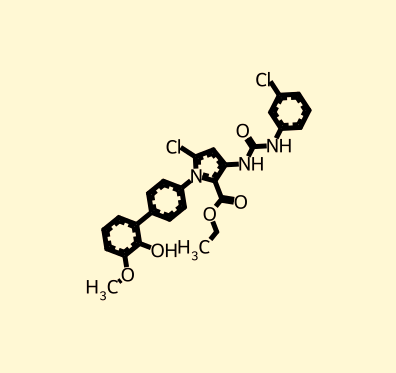 CCOC(=O)c1c(NC(=O)Nc2cccc(Cl)c2)cc(Cl)n1-c1ccc(-c2cccc(OC)c2O)cc1